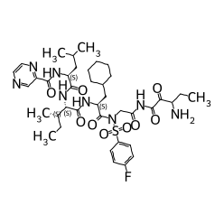 CCC(N)C(=O)C(=O)NC(=O)CN(C(=O)[C@H](CC1CCCCC1)NC(=O)[C@@H](NC(=O)[C@H](CC(C)C)NC(=O)c1cnccn1)[C@@H](C)CC)S(=O)(=O)c1ccc(F)cc1